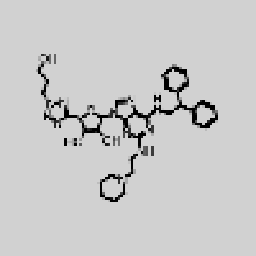 OCCCn1nnc(C2OC(n3cnc4c(NCC(c5ccccc5)c5ccccc5)nc(NCCN5CCCCC5)nc43)C(O)C2O)n1